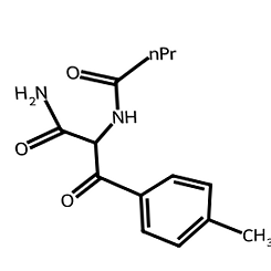 CCCC(=O)NC(C(N)=O)C(=O)c1ccc(C)cc1